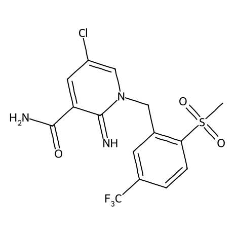 CS(=O)(=O)c1ccc(C(F)(F)F)cc1Cn1cc(Cl)cc(C(N)=O)c1=N